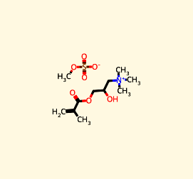 C=C(C)C(=O)OCC(O)C[N+](C)(C)C.COS(=O)(=O)[O-]